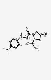 COc1ccc(NNC(=O)C2CC(O)CN2C(N)=O)cc1